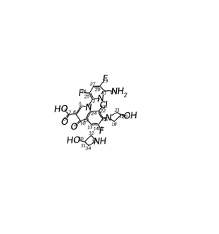 Nc1nc(-n2cc(C(=O)O)c(=O)c3cc(F)c(N4CC(O)C4)c(Cl)c32)c(F)cc1F.OC1CNC1